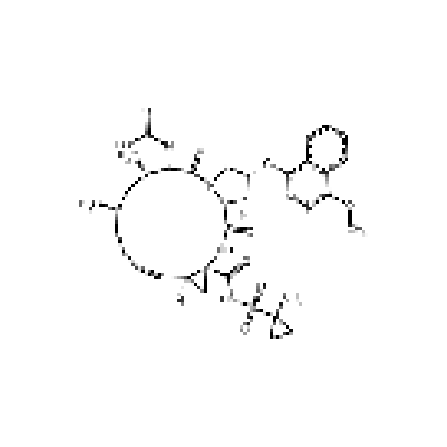 COc1nnc(O[C@@H]2C[C@H]3C(=O)N[C@]4(C(=O)NS(=O)(=O)C5(C)CC5)C[C@H]4C=CCC[C@@H](C)C[C@@H](C)[C@H](NC(=O)O)C(=O)N3C2)c2ccccc12